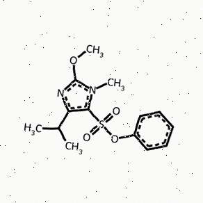 COc1nc(C(C)C)c(S(=O)(=O)Oc2ccccc2)n1C